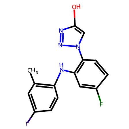 Cc1cc(I)ccc1Nc1cc(F)ccc1-n1cc(O)nn1